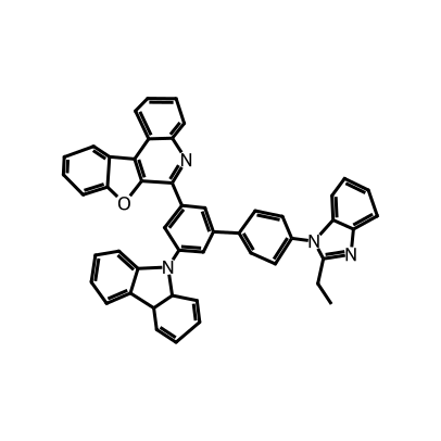 CCc1nc2ccccc2n1-c1ccc(-c2cc(-c3nc4ccccc4c4c3oc3ccccc34)cc(N3c4ccccc4C4C=CC=CC43)c2)cc1